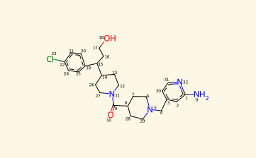 Nc1cc(CN2CCC(C(=O)N3CCC(C(CCO)c4ccc(Cl)cc4)CC3)CC2)ccn1